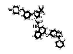 C[C@H]1CCCCN1c1nnc2ccc(O[C@@H]3CC[C@H](NC(=O)Nc4cc(C(C)(C)C)nn4-c4cccc(CN5CCN(C)CC5)c4)c4ccccc43)cn12